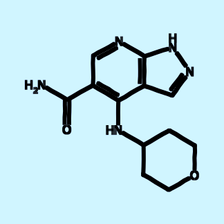 NC(=O)c1cnc2[nH]ncc2c1NC1CCOCC1